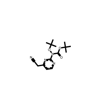 CC(C)(C)OC(=O)N(OC(C)(C)C)c1nccc(CC#N)n1